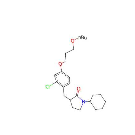 CCCCOCCCOc1ccc(CC2CCN(C3CCCCC3)C2=O)c(Cl)c1